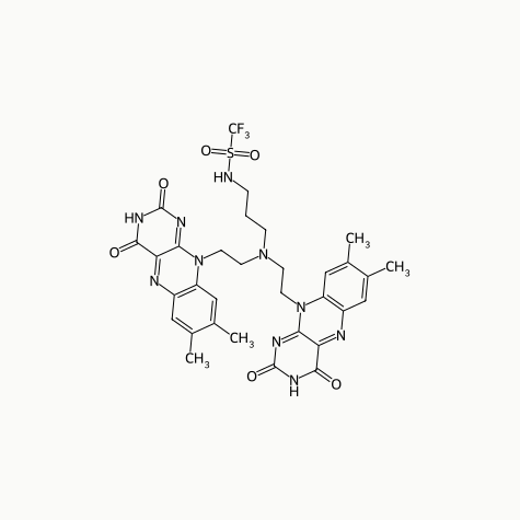 Cc1cc2nc3c(=O)[nH]c(=O)nc-3n(CCN(CCCNS(=O)(=O)C(F)(F)F)CCn3c4nc(=O)[nH]c(=O)c-4nc4cc(C)c(C)cc43)c2cc1C